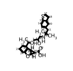 C[C@@H](OCC(O)CNC(C)(C)Cc1ccc2sccc2c1)c1cccc2c1[C@@H]1[C@H](O2)[C@H]1C(=O)O